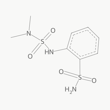 CN(C)S(=O)(=O)Nc1ccccc1S(N)(=O)=O